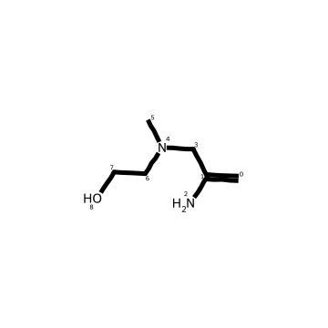 C=C(N)CN(C)CCO